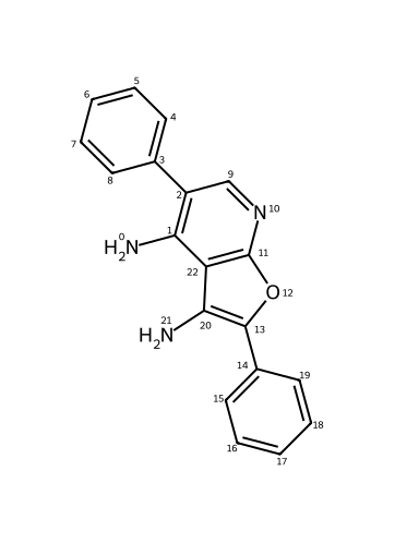 Nc1c(-c2ccccc2)cnc2oc(-c3ccccc3)c(N)c12